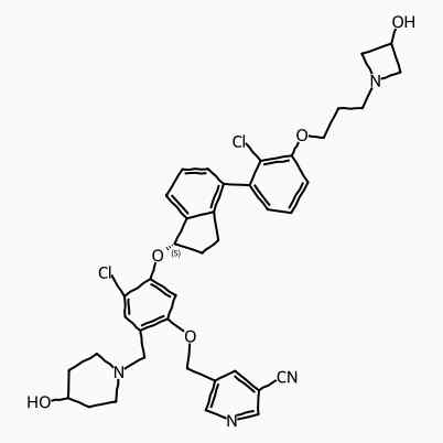 N#Cc1cncc(COc2cc(O[C@H]3CCc4c(-c5cccc(OCCCN6CC(O)C6)c5Cl)cccc43)c(Cl)cc2CN2CCC(O)CC2)c1